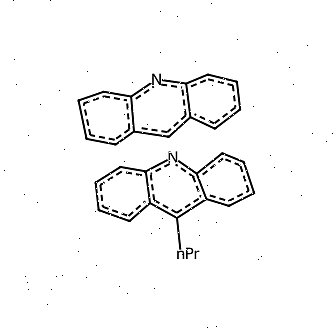 CCCc1c2ccccc2nc2ccccc12.c1ccc2nc3ccccc3cc2c1